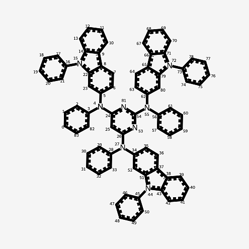 c1ccc(N(c2ccc3c4ccccc4n(-c4ccccc4)c3c2)c2cc(N(c3ccccc3)c3ccc4c5ccccc5n(-c5ccccc5)c4c3)nc(N(c3ccccc3)c3ccc4c5ccccc5n(-c5ccccc5)c4c3)n2)cc1